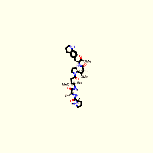 CCC(C)[C@@H]([C@@H](CC(=O)N1CCC[C@H]1[C@H](OC)[C@@H](C)C(=O)N[C@@H](Cc1ccc2c(c1)CCCN2)C(=O)OC)OC)N(C)C(=O)[C@@H](NC(=O)[C@]1(C)CCCN1C)C(C)C